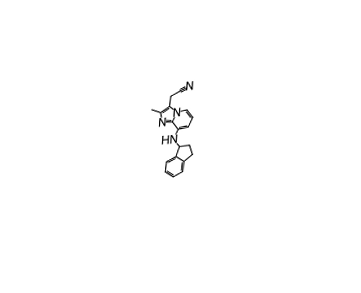 Cc1nc2c(NC3CCc4ccccc43)cccn2c1CC#N